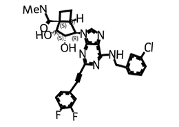 CNC(=O)[C@@]12CC[C@@H]1[C@@H](n1cnc3c(NCc4cccc(Cl)c4)nc(C#Cc4ccc(F)c(F)c4)nc31)[C@H](O)[C@@H]2O